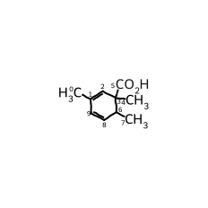 CC1=CC(C)(C(=O)O)C(C)C=C1